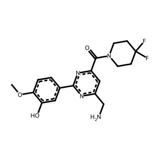 COc1ccc(-c2nc(CN)cc(C(=O)N3CCC(F)(F)CC3)n2)cc1O